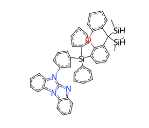 C[SiH](C)C1([SiH](C)C)c2ccccc2Oc2c1cccc2[Si](c1ccccc1)(c1ccccc1)c1cccc(-n2c3ccccc3n3c4ccccc4nc23)c1